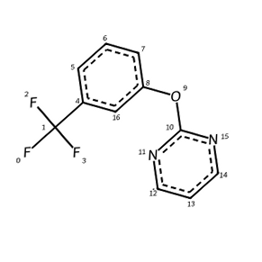 FC(F)(F)c1cccc(Oc2n[c]ccn2)c1